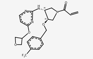 C=CC(=O)N1C[C@@H](Nc2nccc(OC3COC3)n2)[C@H](OCc2ccc(C(F)(F)F)cc2)C1